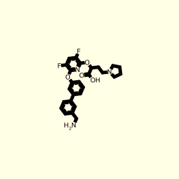 NCc1cccc(-c2cccc(Oc3nc(OC(CCN4CCCC4)C(=O)O)c(F)cc3F)c2)c1